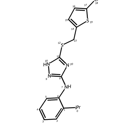 CC(C)c1ccccc1Nc1n[nH]c(SCc2ccc(Cl)s2)n1